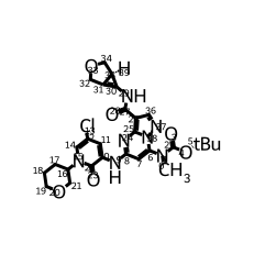 CN(C(=O)OC(C)(C)C)c1cc(Nc2cc(Cl)cn(C3CCCOC3)c2=O)nc2c(C(=O)NC3=C4COC[C@H]43)cnn12